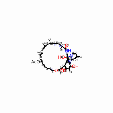 CC(=O)O[C@@H]1C=CC/C=C/O[C@@]2(C)Oc3c(C)c(O)c4c(O)c(c5c(nc6cc(C)ccn65)c4c3C2=O)NC(=O)/C(C)=C/C=C/[C@H](C)CC(C)=CC[C@@H](C)C1